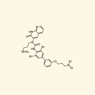 CCN(CC)CCCOc1cccc(-c2cc(C(C)C)c(NC(=O)N(CCCNC(C)=O)c3cc4cccnc4[nH]c3=O)c(C(C)C)c2)c1